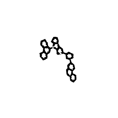 c1cc(-c2ccc3c(ccc4ccccc43)c2)cc(-c2ccc3c(c2)c2ccccc2n3-c2cc3ccccc3c3ccccc23)c1